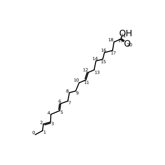 CC/C=C/C/C=C/CCCC/C=C/CCCCCCC(=O)O